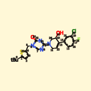 CC(C)(C)c1ccc(Cn2cnc(N3CC=C(c4ccc(F)c(Cl)c4)C(O)C3)nc2=O)s1